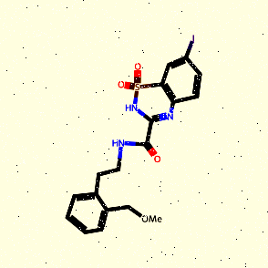 COCc1ccccc1CCNC(=O)C1=Nc2ccc(I)cc2S(=O)(=O)N1